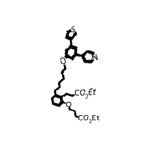 CCOC(=O)CCCOc1cccc(CCCCCCOc2cc(-c3ccncc3)cc(-c3ccsc3)c2)c1CCC(=O)OCC